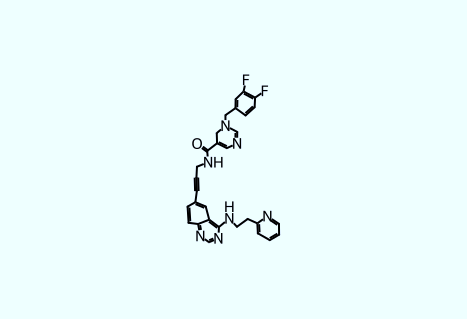 O=C(NCC#Cc1ccc2ncnc(NCCc3ccccn3)c2c1)C1=CN=CN(Cc2ccc(F)c(F)c2)C1